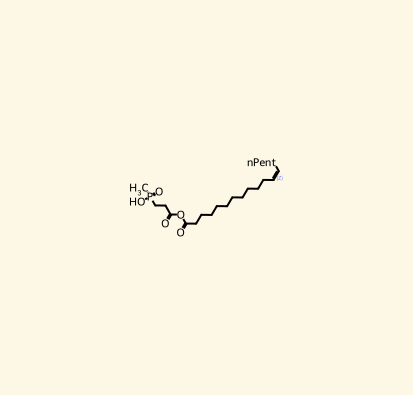 CCCCC/C=C\CCCCCCCCCCC(=O)OC(=O)CCP(C)(=O)O